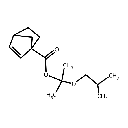 CC(C)COC(C)(C)OC(=O)C12C=CC(CC1)C2